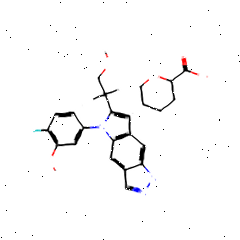 COCC(C)(C)c1c([C@H]2CCC(C(=O)O)OC2)c2cc3[nH]ncc3cc2n1-c1ccc(F)c(OC)c1